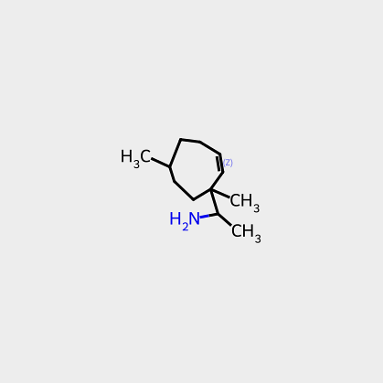 CC1CC/C=C\C(C)(C(C)N)CC1